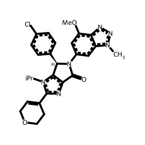 COc1cc(N2C(=O)c3nc(C4=CCOCC4)n(C(C)C)c3[C@H]2c2ccc(Cl)cc2)cc2c1nnn2C